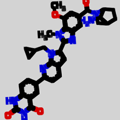 COc1cc(C(=O)N2CC3CCC2C3N)cc2nc(-c3cc4ccc(-c5ccc6[nH]c(=O)[nH]c(=O)c6c5)nc4n3CC3CC3)n(C)c12